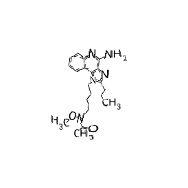 CCCc1nc2c(N)nc3ccccc3c2n1CCCCN(OC)C(C)=O